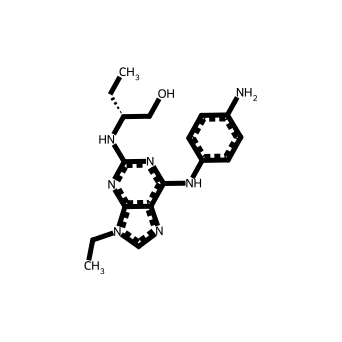 CC[C@H](CO)Nc1nc(Nc2ccc(N)cc2)c2ncn(CC)c2n1